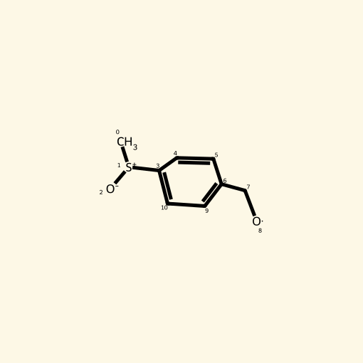 C[S+]([O-])c1ccc(C[O])cc1